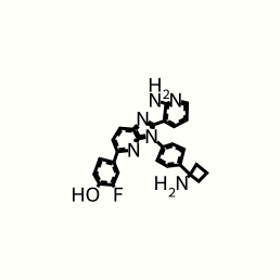 Nc1ncccc1-c1nc2ccc(-c3ccc(O)c(F)c3)nc2n1-c1ccc(C2(N)CCC2)cc1